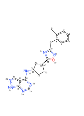 Cc1ccccc1Cc1noc([C@H]2CC[C@H](Nc3ncnc4[nH]ncc34)C2)n1